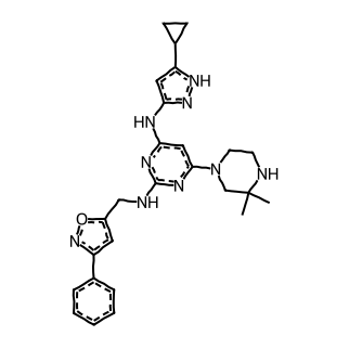 CC1(C)CN(c2cc(Nc3cc(C4CC4)[nH]n3)nc(NCc3cc(-c4ccccc4)no3)n2)CCN1